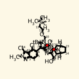 Cn1nc2ccc(-c3nn(COCC[Si](C)(C)C)c4nc(N5[C@H]6CC[C@@H]5[C@@H](F)[C@@H](NC(=O)OC(C)(C)C)C6)c(CO)nc34)c(Cl)c2c1Cl